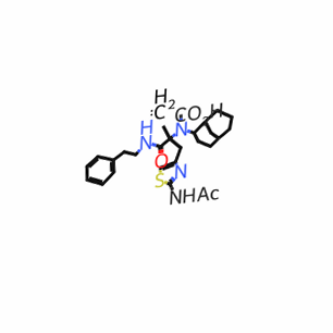 CC(=O)Nc1nc(CC(C)(C(=O)NCCc2ccccc2)N(C(=O)O)C2CCC3CCCC2C3)cs1.[CH2]